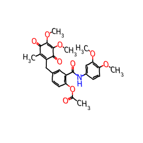 COC1=C(OC)C(=O)C(Cc2ccc(OC(C)=O)c(C(=O)Nc3ccc(OC)c(OC)c3)c2)=C(C)C1=O